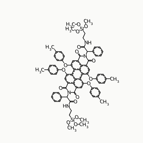 CO[Si](CCNC(=O)C(c1ccccc1)N1C(=O)c2cc(Oc3ccc(C)cc3)c3c4c(Oc5ccc(C)cc5)cc5c6c(cc(Oc7ccc(C)cc7)c(c7c(Oc8ccc(C)cc8)cc(c2c37)C1=O)c64)C(=O)N(C(C(=O)NCC[Si](OC)(OC)OC)c1ccccc1)C5=O)(OC)OC